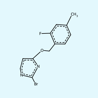 Cc1ccc(COc2ccnc(Br)n2)c(F)c1